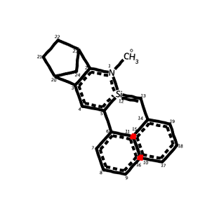 Cn1c2c(cc(-c3ccccc3)/[si]1=C\c1ccccc1)C1CCC2C1